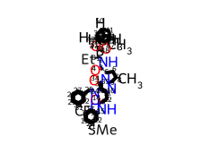 CC[C@H](NC(=O)[C@@H]1C[C@H](C)c2nc(CC(=O)Nc3cccc(SC)c3)c(NCc3cccc(C(F)(F)F)c3)c(=O)n21)B1O[C@@H]2C[C@@H]3C[C@@H](C3(C)C)[C@]2(C)O1